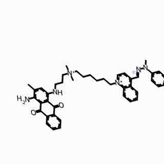 Cc1cc(NCCC[N+](C)(C)CCCCCC[n+]2ccc(/C=N/N(C)c3ccccc3)c3ccccc32)c2c(c1N)C(=O)c1ccccc1C2=O